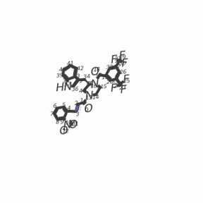 O=C(/C=C/c1ccccc1[N+](=O)[O-])N1CCN(C(=O)c2cc(C(F)(F)F)cc(C(F)(F)F)c2)[C@H](Cc2c[nH]c3ccccc23)C1